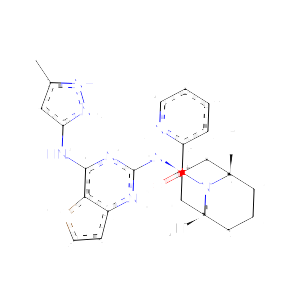 Cc1cc(Nc2nc(N[C@@H]3C[C@H]4CCC[C@@H](C3)N4C(=O)c3ccccn3)nc3ccsc23)n[nH]1